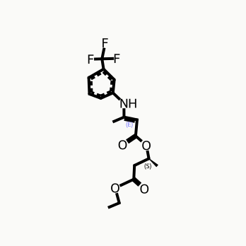 CCOC(=O)C[C@H](C)OC(=O)/C=C(\C)Nc1cccc(C(F)(F)F)c1